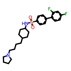 O=S(=O)(NC1CCC(CCCCN2CCCC2)CC1)c1ccc(-c2ccc(F)cc2F)cc1